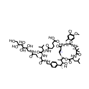 COc1ccc(C[C@H]2NC(=O)/C=C/C[C@@H]([C@H](C)C(O)[C@H](C)c3ccc(CNC(=O)[C@H](CCC(=O)NC[C@H](O)[C@@H](O)[C@H](O)[C@H](O)CO)NC(=O)[C@@H](NC(=O)CCCC(=O)O)C(C)C)cc3)OC(=O)[C@H](CC(C)C)NC(=O)C(C)(C)[C@H](C)NC2=O)cc1Cl